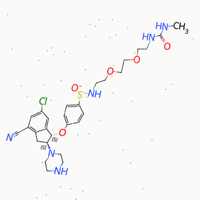 CNC(=O)NCCOCCOCCN[S+]([O-])c1ccc(O[C@H]2c3cc(Cl)cc(C#N)c3C[C@@H]2N2CCNCC2)cc1